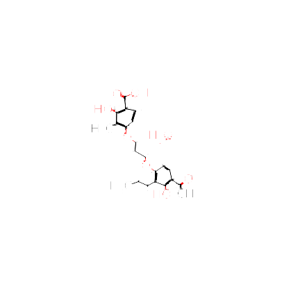 CCCc1c(OCCCOc2ccc(C(=O)O)c(O)c2C)ccc(C(C)=O)c1O.O